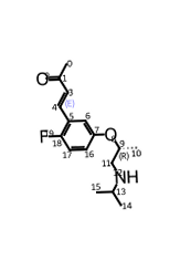 CC(=O)/C=C/c1cc(O[C@H](C)CNC(C)C)ccc1F